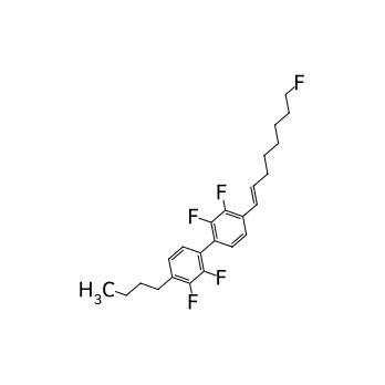 CCCCc1ccc(-c2ccc(/C=C/CCCCCCF)c(F)c2F)c(F)c1F